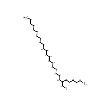 [CH2]CCCCCCCCCCCCC=CCCCCCCC(CC)CCCCC[CH2]